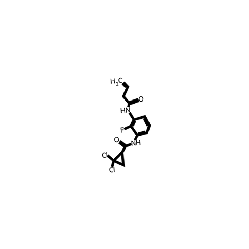 C=CCC(=O)Nc1cccc(NC(=O)C2CC2(Cl)Cl)c1F